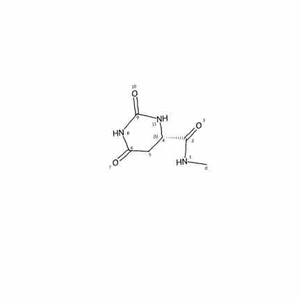 CNC(=O)[C@@H]1CC(=O)NC(=O)N1